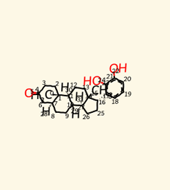 C[C@]12CCC(=O)C[C@@H]1CC[C@@H]1[C@@H]2CC[C@]2(C)[C@H](c3cccc(O)c3O)CC[C@@H]12